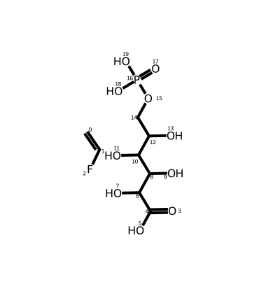 C=CF.O=C(O)C(O)C(O)C(O)C(O)COP(=O)(O)O